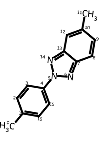 Cc1ccc(-n2nc3ccc(C)cc3n2)cc1